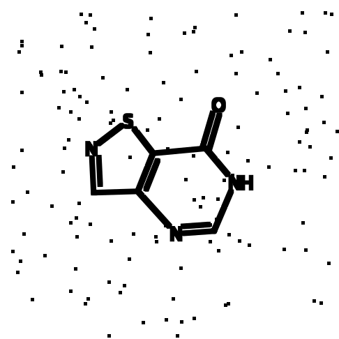 O=c1[nH]cnc2cnsc12